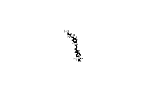 CC1(C(=O)N2CCC3(CC2)CC(CCCOc2cc(F)c(C(=O)NCCO)cc2F)C3)CC1